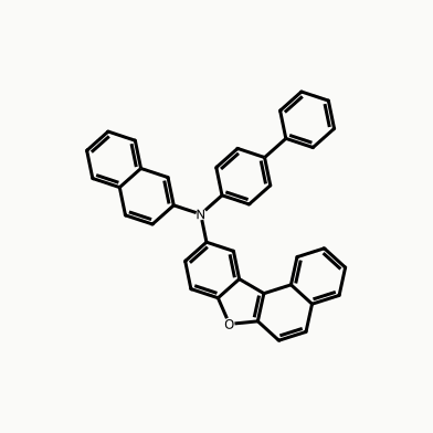 c1ccc(-c2ccc(N(c3ccc4ccccc4c3)c3ccc4oc5ccc6ccccc6c5c4c3)cc2)cc1